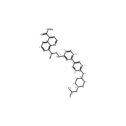 CNC(=O)c1ccnc2c([C@H](C)CNc3cc(-c4cnc(CC5CCN(CC(C)F)CC5)nc4)ncn3)cccc12